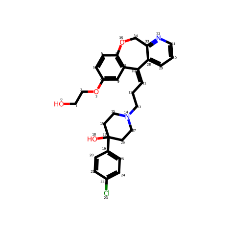 OCCOc1ccc2c(c1)C(=CCCN1CCC(O)(c3ccc(Cl)cc3)CC1)c1cccnc1CO2